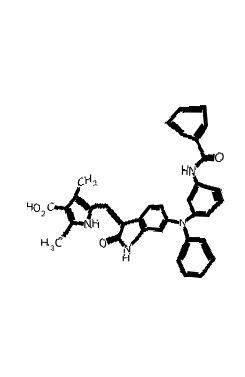 Cc1[nH]c(C=C2C(=O)Nc3cc(N(c4ccccc4)c4cccc(NC(=O)c5ccccc5)c4)ccc32)c(C)c1C(=O)O